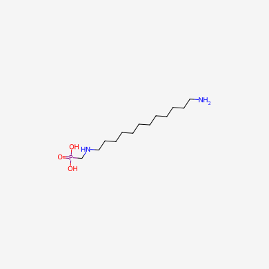 NCCCCCCCCCCCCNCP(=O)(O)O